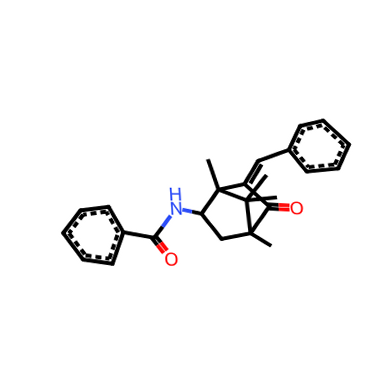 CC12CC(NC(=O)c3ccccc3)C(C)(C(=Cc3ccccc3)C1=O)C2(C)C